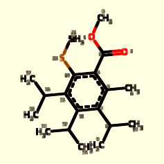 COC(=O)c1c(C)c(C(C)C)c(C(C)C)c(C(C)C)c1S[SiH3]